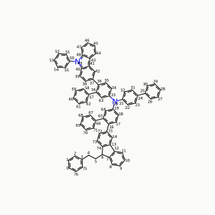 c1ccc(CCC2c3ccccc3-c3cc(-c4ccc(N(c5ccc(-c6ccccc6)cc5)c5ccc(-c6ccc7c(c6)c6ccccc6n7-c6ccccc6)c(-c6ccccc6)c5)cc4-c4ccccc4)ccc32)cc1